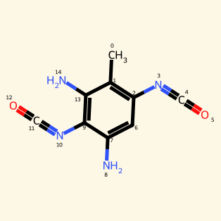 Cc1c(N=C=O)cc(N)c(N=C=O)c1N